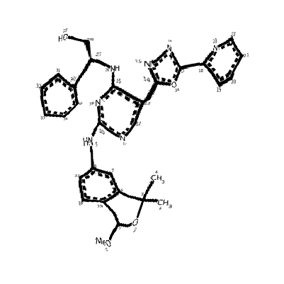 COC1OC(C)(C)c2cc(Nc3ncc(-c4nnc(-c5ccccn5)o4)c(N[C@H](CO)c4ccccc4)n3)ccc21